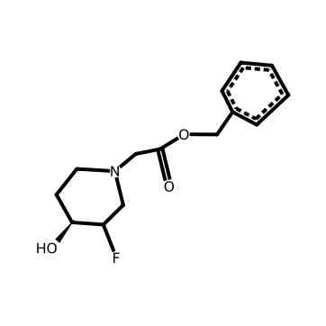 O=C(CN1CC[C@H](O)C(F)C1)OCc1ccccc1